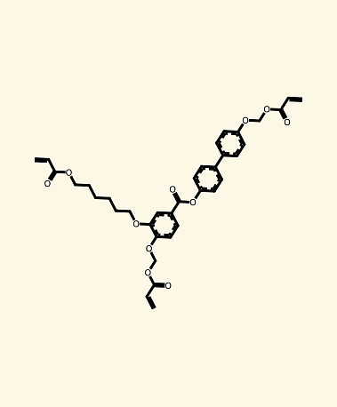 C=CC(=O)OCCCCCCOc1cc(C(=O)Oc2ccc(-c3ccc(OCOC(=O)C=C)cc3)cc2)ccc1OCOC(=O)C=C